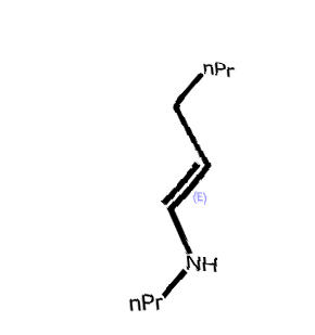 CCCC/C=C/NCCC